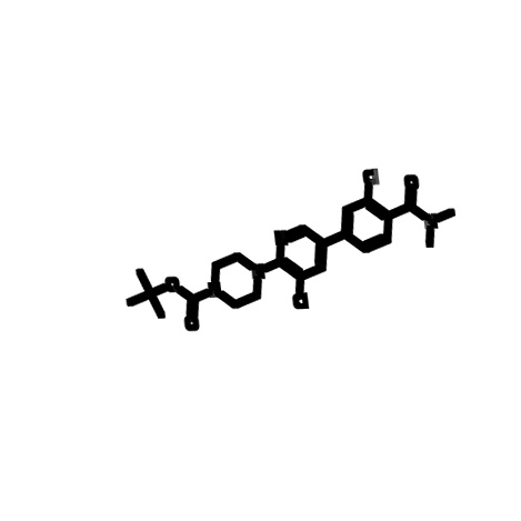 CN(C)C(=O)c1ccc(-c2cnc(N3CCN(C(=O)OC(C)(C)C)CC3)c(Cl)c2)cc1Cl